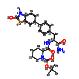 Cn1c(=O)sc2cc(-c3ccc(C[C@H](NC(=O)C4CCCCN4C(=O)OC(C)(C)C)C(N)=O)cc3)ccc21